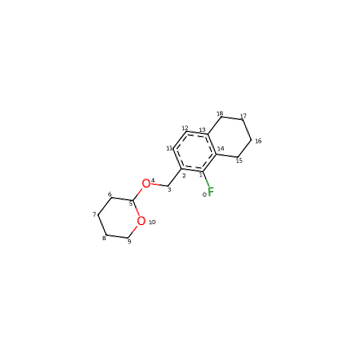 Fc1c(COC2CCCCO2)ccc2c1CCCC2